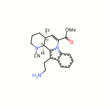 CC[C@]12C=C(C(=O)OC)n3c(c(CCN)c4ccccc43)[C@H]1N(C#N)CCC2